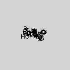 Cn1nc(-c2cc(C(F)(F)F)c(F)c(O)c2F)c2cnc(N3CCOC[C@@H]3CC3CCCCC3)nc21